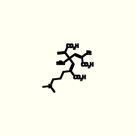 C=C(C(=O)O)C(C=C(CC)C(=O)O)(C=C(CCCN(C)C)C(=O)O)CCCC